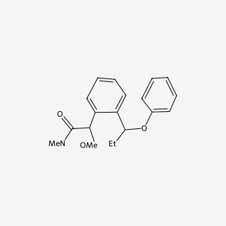 CCC(Oc1ccccc1)c1ccccc1C(OC)C(=O)NC